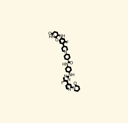 O=C1CCC(Nc2ccc(C3CCN([C@H]4CC[C@H](C(=O)NC5CCC(Nc6ncc(F)c(-c7ccnc(N8CCCCC8=O)c7)n6)CC5)CC4)CC3)c(F)c2)C(=O)N1